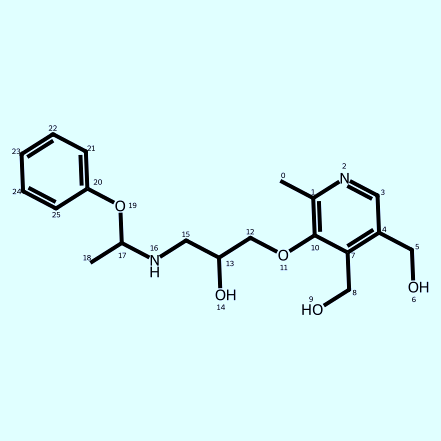 Cc1ncc(CO)c(CO)c1OCC(O)CNC(C)Oc1ccccc1